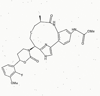 COC(=O)Nc1ccc2c(c1)NC(=O)[C@H](C)CCC[C@H](N1CCC(c3cccc(OC)c3F)OC1=O)c1nc-2c[nH]1